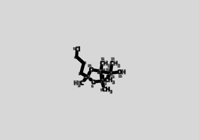 C[Si]1(CCCCl)O[Si](C)(C)[Si](C)([Si](C)(C)O)O1